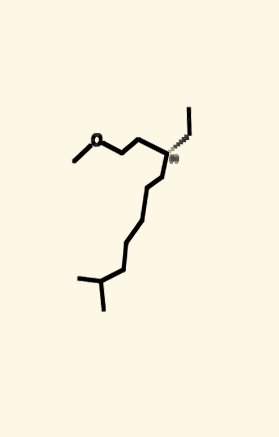 CC[C@H](CCCCCC(C)C)CCOC